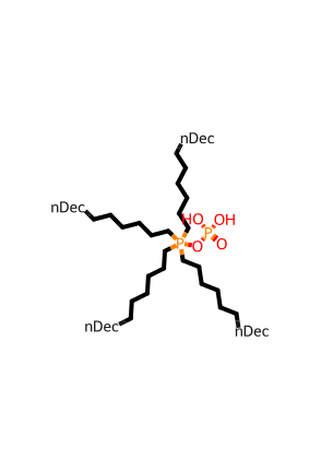 CCCCCCCCCCCCCCCCP(CCCCCCCCCCCCCCCC)(CCCCCCCCCCCCCCCC)(CCCCCCCCCCCCCCCC)OP(=O)(O)O